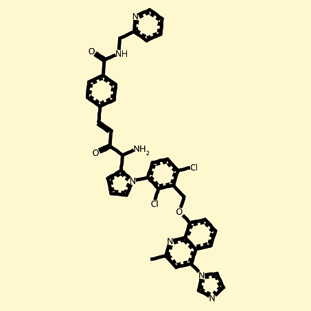 Cc1cc(-n2ccnc2)c2cccc(OCc3c(Cl)ccc(-n4cccc4C(N)C(=O)/C=C/c4ccc(C(=O)NCc5ccccn5)cc4)c3Cl)c2n1